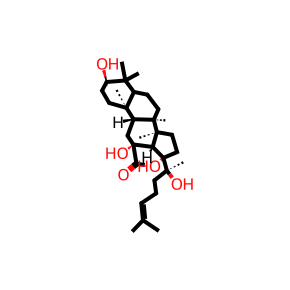 CC(=O)[C@@]1(O)C[C@@H]2[C@@]3(C)CC[C@@H](O)C(C)(C)C3CC[C@@]2(C)[C@@]2(C)CC[C@](O)([C@@](C)(O)CCC=C(C)C)[C@H]21